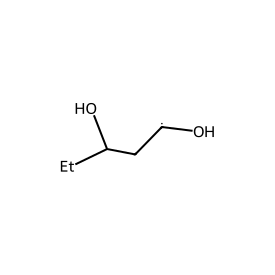 CCC(O)C[CH]O